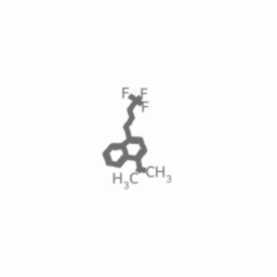 CC(C)c1ccc(CCCC(F)(F)F)c2ccccc12